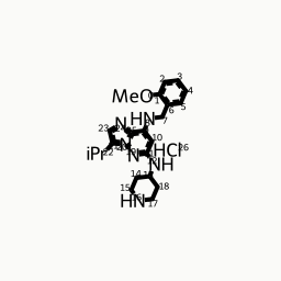 COc1ccccc1CNc1cc(NC2CCNCC2)nn2c(C(C)C)cnc12.Cl